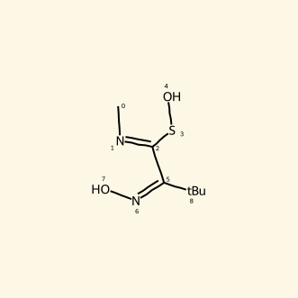 CN=C(SO)C(=NO)C(C)(C)C